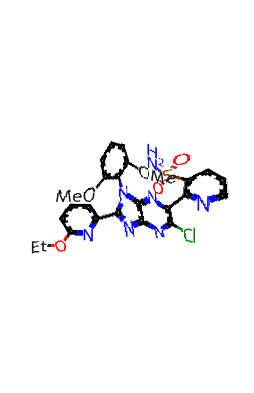 CCOc1cccc(-c2nc3nc(Cl)c(-c4ncccc4S(N)(=O)=O)nc3n2-c2c(OC)cccc2OC)n1